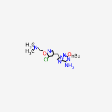 CCCCOc1nc(N)c2ncc(Cc3cnc(OCCCN(C)C)c(Cl)c3)n2n1